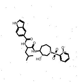 CC(C)CC(NC(=O)c1ccc2[nH]ccc2c1)C(=O)NC1CCCN(S(=O)(=O)c2cccc[n+]2[O-])C[C@@H]1O